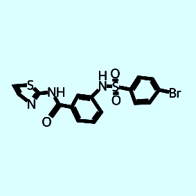 O=C(Nc1nccs1)c1cccc(NS(=O)(=O)c2ccc(Br)cc2)c1